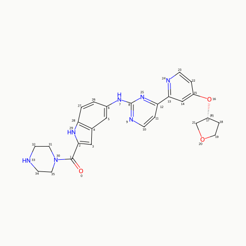 O=C(c1cc2cc(Nc3nccc(-c4cc(O[C@@H]5CCOC5)ccn4)n3)ccc2[nH]1)N1CCNCC1